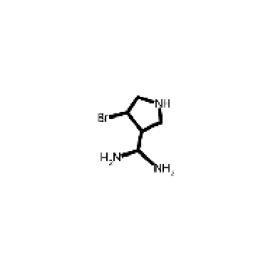 NC(N)C1CNCC1Br